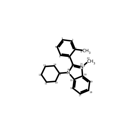 Cc1ccccc1-c1n(C2CCCCC2)c2ccccc2[n+]1C